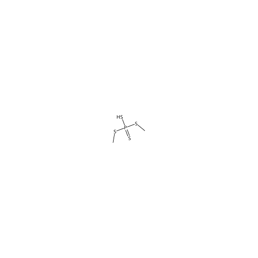 CSP(=S)(S)SC